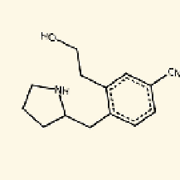 N#Cc1ccc(CC2CCCN2)c(CCO)c1